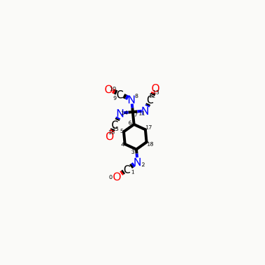 O=C=NC1CCC(C(N=C=O)(N=C=O)N=C=O)CC1